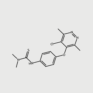 Cc1nnc(C)c(Oc2ccc(NC(=S)N(C)C)cc2)c1Cl